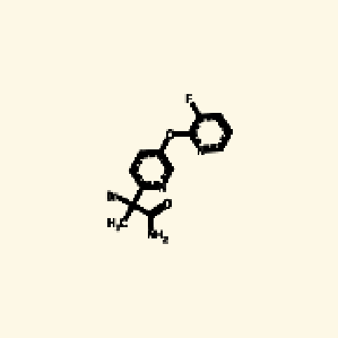 CC(Br)(C(N)=O)c1ccc(Oc2ncccc2F)cn1